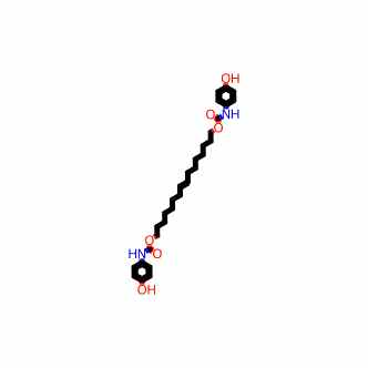 O=C(Nc1ccc(O)cc1)OCCCCCCCC=CCCCCCCCOC(=O)Nc1ccc(O)cc1